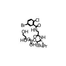 CC(C)C[C@@H](NC(=O)CNC(=O)c1cc(Br)ccc1Cl)C(OB(O)O)C(C)(C)C.OCCO